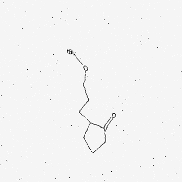 CC(C)(C)OCCCC1CCCC1=O